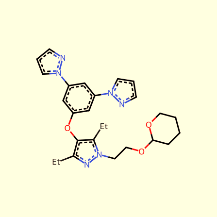 CCc1nn(CCOC2CCCCO2)c(CC)c1Oc1cc(-n2cccn2)cc(-n2cccn2)c1